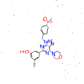 COC(=O)c1ccc(Cn2nnc3c(N4CCOCC4)nc(-c4cc(O)cc(F)c4)nc32)cc1